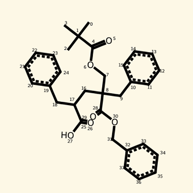 CC(C)(C)C(=O)OCC(Cc1ccccc1)(CC(Cc1ccccc1)C(=O)O)C(=O)OCc1ccccc1